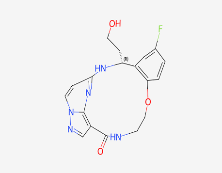 O=C1NCCOc2ccc(F)cc2[C@@H](CCO)Nc2ccn3ncc1c3n2